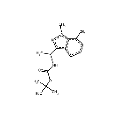 Cc1cccc2c(C(C)NC(=O)OC(C)(C)C)nn(C)c12